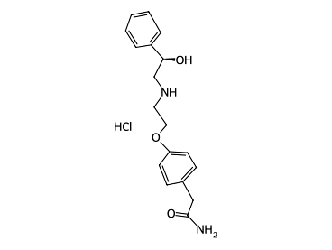 Cl.NC(=O)Cc1ccc(OCCNC[C@H](O)c2ccccc2)cc1